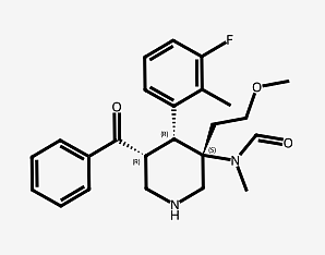 COCC[C@@]1(N(C)C=O)CNC[C@H](C(=O)c2ccccc2)[C@@H]1c1cccc(F)c1C